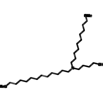 COCCCCCCCCCCCCN(CCCCO)CCCCCCCCCCOC